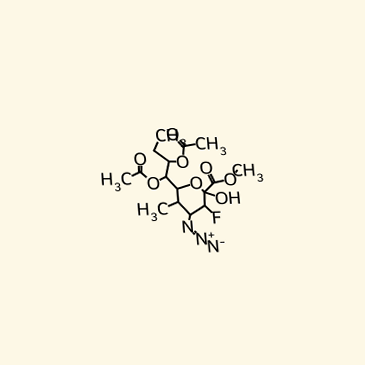 CCC(OC(C)=O)C(OC(C)=O)C1OC(O)(C(=O)OC)C(F)C(N=[N+]=[N-])C1C